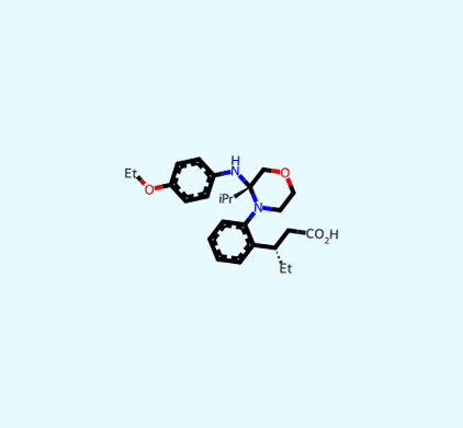 CCOc1ccc(N[C@]2(C(C)C)COCCN2c2ccccc2[C@@H](CC)CC(=O)O)cc1